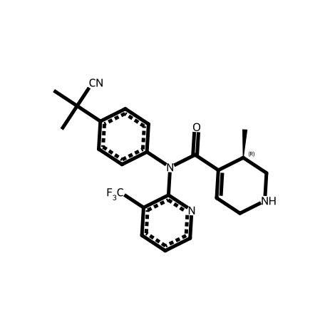 C[C@H]1CNCC=C1C(=O)N(c1ccc(C(C)(C)C#N)cc1)c1ncccc1C(F)(F)F